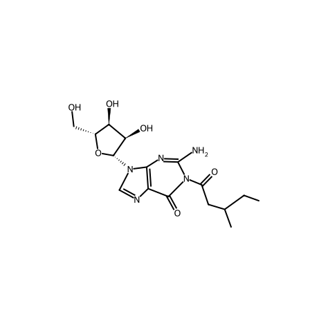 CCC(C)CC(=O)n1c(N)nc2c(ncn2[C@@H]2O[C@H](CO)[C@@H](O)[C@H]2O)c1=O